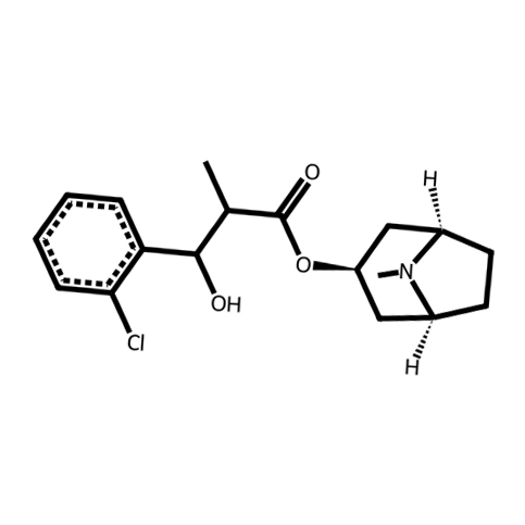 CC(C(=O)O[C@H]1C[C@H]2CC[C@@H](C1)N2C)C(O)c1ccccc1Cl